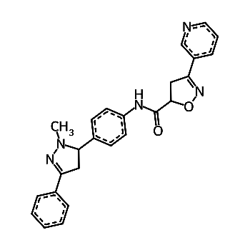 CN1N=C(c2ccccc2)CC1c1ccc(NC(=O)C2CC(c3cccnc3)=NO2)cc1